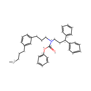 O=C(O)CCCc1cccc(CCCN(CCC(c2ccccc2)c2ccccc2)C(=O)Oc2ccccc2)c1